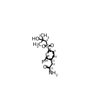 CC(C)(O)CS(=O)(=O)c1ccc(CC(N)=O)c(F)c1